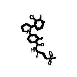 C[C@H](/C=C/S(C)(=O)=O)NC(=O)c1ccc(N2CCCC2c2cccc(F)c2Cl)cc1F